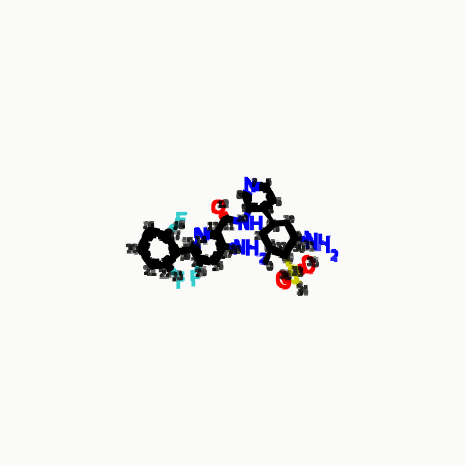 C[C@H]1C[C@@H](c2ccncc2NC(=O)c2nc(-c3c(F)cccc3F)c(F)cc2N)C[C@@H](N)[C@H]1S(C)(=O)=O